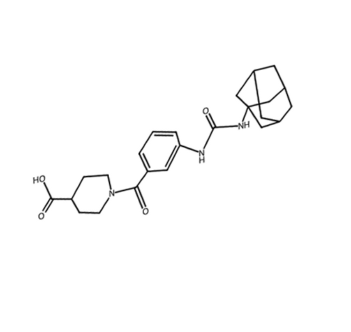 O=C(Nc1cccc(C(=O)N2CCC(C(=O)O)CC2)c1)NC12CC3CC(CC(C3)C1)C2